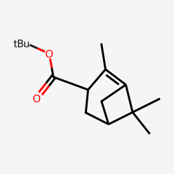 CC1=C2CC(CC1C(=O)OC(C)(C)C)C2(C)C